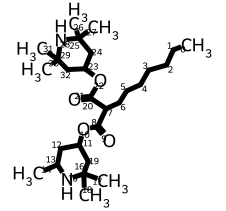 CCCCCCCC(C(=O)OC1CC(C)NC(C)(C)C1)C(=O)OC1CC(C)(C)NC(C)(C)C1